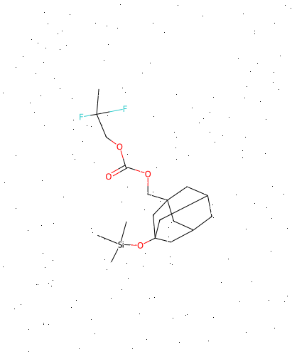 CC(F)(F)COC(=O)OCC12CC3CC(C1)CC(O[Si](C)(C)C)(C3)C2